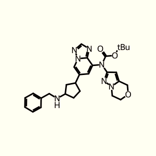 CC(C)(C)OC(=O)N(c1cc2n(n1)CCOC2)c1cc(C2CCC(NCc3ccccc3)C2)cn2ncnc12